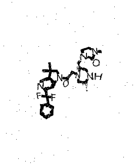 C[C@@H]1CN(CC(=O)N2CC(C)(C)c3cnc(C(F)(F)c4ccccc4)cc32)[C@@H](CN2CCN(C)C2=O)CN1